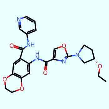 CCO[C@H]1CCN(c2nc(C(=O)Nc3cc4c(cc3C(=O)Nc3cccnc3)OCCO4)co2)C1